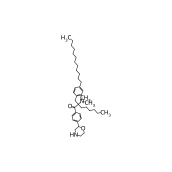 CCCCCCCCCCCCc1ccc(CC(CCCCCC)(C(=O)c2ccc(C3CNCCO3)cc2)N(C)C)cc1